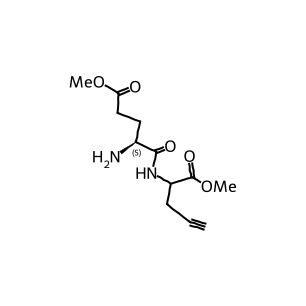 C#CCC(NC(=O)[C@@H](N)CCC(=O)OC)C(=O)OC